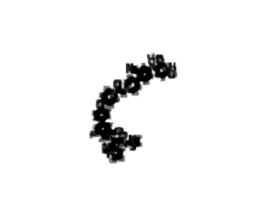 N#Cc1cc(NC2CCC(=O)NC2=O)ccc1C1CCN(CC(=O)N2CCC(Oc3ccc(-c4cc(F)c5c(c4)C(=O)N(C(C(=O)Nc4nccs4)c4ncn6c4CCC6)C5)cc3)CC2)CC1